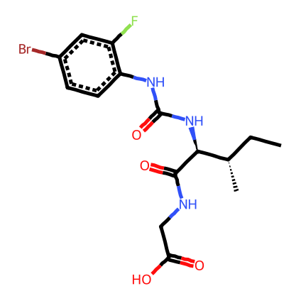 CC[C@H](C)[C@H](NC(=O)Nc1ccc(Br)cc1F)C(=O)NCC(=O)O